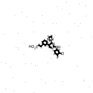 O=C(O)C=Cc1cccc(-c2cnc(Nc3ccc(F)c(Cl)c3)nc2-n2nccn2)c1